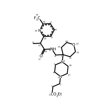 CCOC(=O)CCN1CCN(C2(CNC(=O)C(C)c3cccc(C(F)(F)F)n3)CCOCC2)CC1